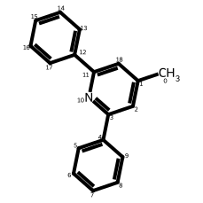 Cc1cc(-c2ccccc2)nc(-c2ccccc2)c1